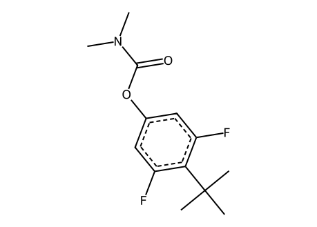 CN(C)C(=O)Oc1cc(F)c(C(C)(C)C)c(F)c1